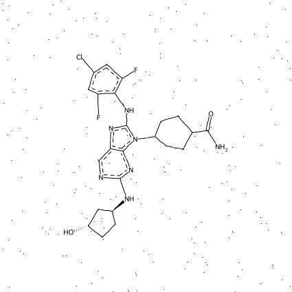 NC(=O)C1CCC(n2c(Nc3c(F)cc(Cl)cc3F)nc3cnc(N[C@H]4CC[C@H](O)C4)nc32)CC1